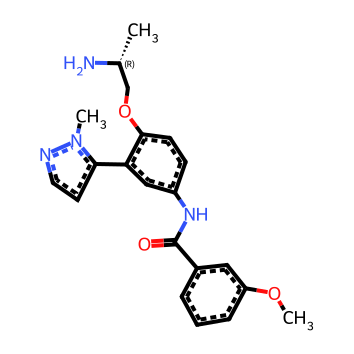 COc1cccc(C(=O)Nc2ccc(OC[C@@H](C)N)c(-c3ccnn3C)c2)c1